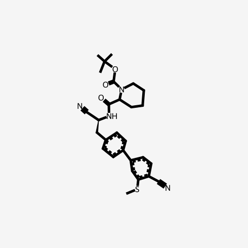 CSc1cc(-c2ccc(C[C@@H](C#N)NC(=O)C3CCCCN3C(=O)OC(C)(C)C)cc2)ccc1C#N